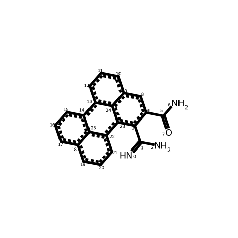 N=C(N)c1c(C(N)=O)cc2cccc3c4cccc5cccc(c1c23)c54